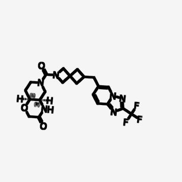 O=C1CO[C@H]2CCN(C(=O)N3CC4(CC(Cc5ccc6nc(C(F)(F)F)nn6c5)C4)C3)C[C@H]2N1